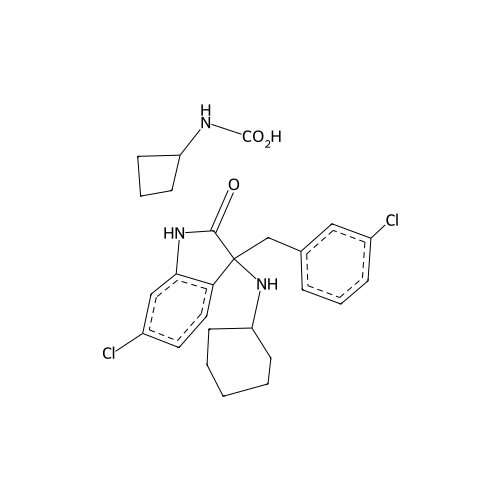 O=C(O)NC1CCC1.O=C1Nc2cc(Cl)ccc2C1(Cc1cccc(Cl)c1)NC1CCCCC1